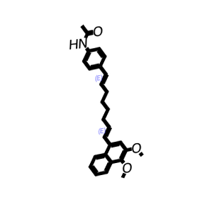 COc1cc(/C=C/CCCC/C=C/c2ccc(NC(C)=O)cc2)c2ccccc2c1OC